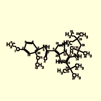 COc1ccc(NC(=O)c2cnn3c(NC(C)(C)CC(C)(C)C)c(C(C)(C)C)[nH]c23)c(OC)c1